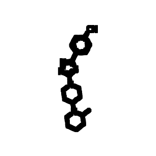 CC1CCCCN1C1CCN(c2nnc(-c3ccc(C#N)cc3)s2)CC1